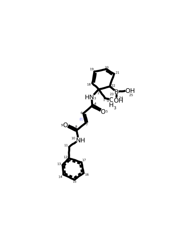 CCC1(NC(=O)/C=C/C(=O)NCc2ccccc2)C=CC=CC1B(O)O